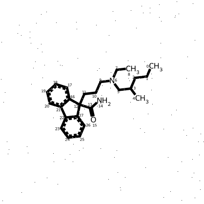 CCCC(C)CN(CC)CCCC1(C(N)=O)c2ccccc2-c2ccccc21